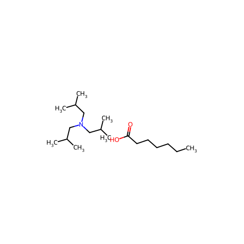 CC(C)CN(CC(C)C)CC(C)C.CCCCCCC(=O)O